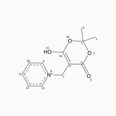 CC1(C)OC(=O)C(C[n+]2ccccc2)=C(O)O1